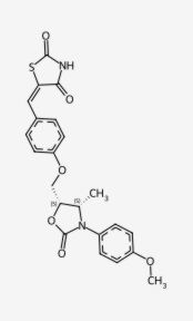 COc1ccc(N2C(=O)O[C@H](COc3ccc(C=C4SC(=O)NC4=O)cc3)[C@@H]2C)cc1